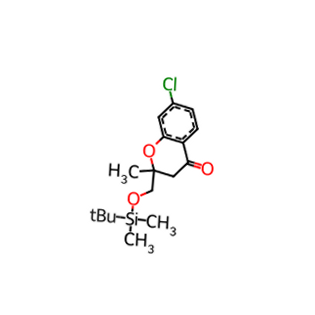 CC1(CO[Si](C)(C)C(C)(C)C)CC(=O)c2ccc(Cl)cc2O1